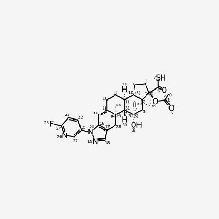 CC(=O)O[C@]1(C(=O)S)CC[C@H]2[C@@H]3CCC4=Cc5c(cnn5-c5ccc(F)nc5)C[C@]4(C)[C@H]3[C@@H](O)C[C@@]21C